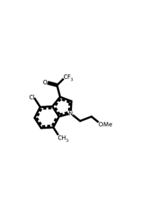 COCCn1cc(C(=O)C(F)(F)F)c2c(Cl)ccc(C)c21